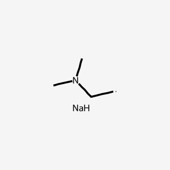 [CH2]CN(C)C.[NaH]